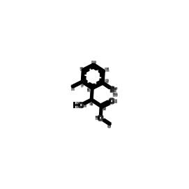 COC(=O)C(O)c1c(C)cccc1Br